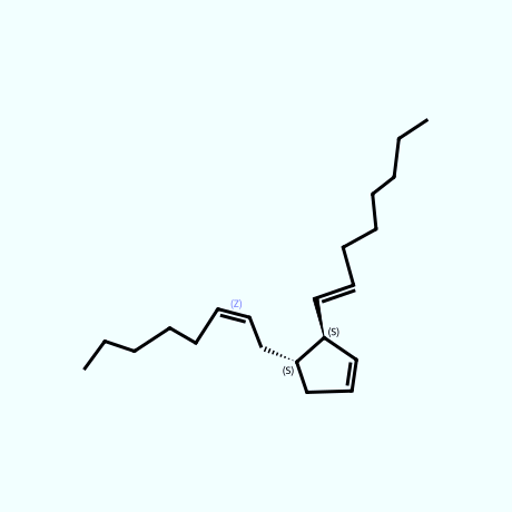 CCCCC/C=C\C[C@H]1CC=C[C@@H]1C=CCCCCCC